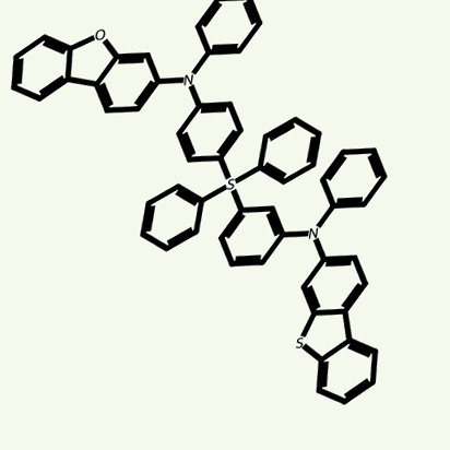 c1ccc(N(c2ccc(S(c3ccccc3)(c3ccccc3)c3cccc(N(c4ccccc4)c4ccc5c(c4)sc4ccccc45)c3)cc2)c2ccc3c(c2)oc2ccccc23)cc1